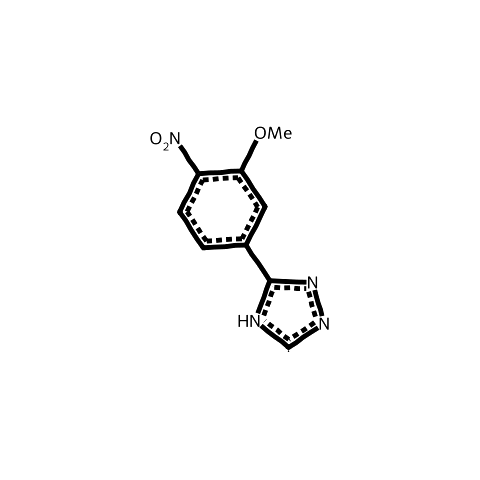 COc1cc(-c2nn[c][nH]2)ccc1[N+](=O)[O-]